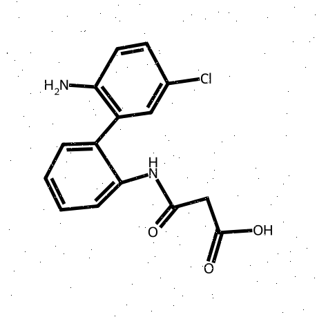 Nc1ccc(Cl)cc1-c1ccccc1NC(=O)CC(=O)O